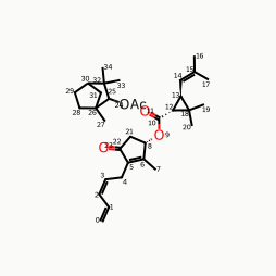 C=C/C=C\CC1=C(C)[C@@H](OC(=O)[C@@H]2[C@@H](C=C(C)C)C2(C)C)CC1=O.CC(=O)OC1C2(C)CCC(C2)C1(C)C